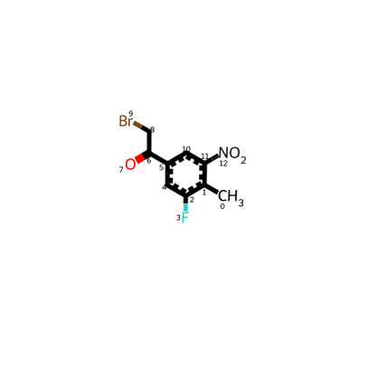 Cc1c(F)cc(C(=O)CBr)cc1[N+](=O)[O-]